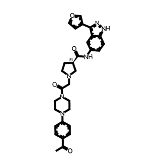 CC(=O)c1ccc(N2CCN(C(=O)CN3CC[C@@H](C(=O)Nc4ccc5[nH]nc(-c6ccoc6)c5c4)C3)CC2)cc1